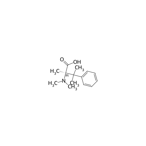 CN(C)[C@@](C)(C(=O)O)C(C)(C)c1ccccc1